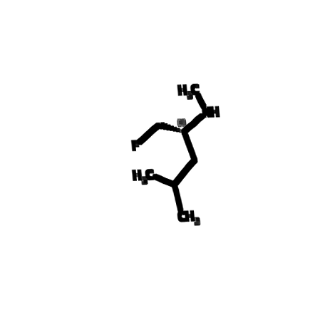 CN[C@@H](CF)CC(C)C